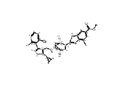 COC(=O)c1cc(C)c2nc(N3C[C@@H]4C[C@H]3C[C@H]4OCc3c(-c4c(F)cccc4Cl)noc3C3CC3)sc2c1